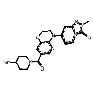 Cn1nc2cc(N3CCOc4cc(C(=O)N5CCC(C#N)CC5)cnc43)ccn2c1=O